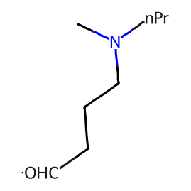 CCCN(C)CCC[C]=O